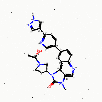 CC(O)N1CCC(n2c(=O)n(C)c3cnc4ccc(-c5ccc(-c6cnn(C)c6)nc5)cc4c32)C1